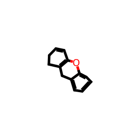 C1=CC2=C(CC1)Cc1ccccc1O2